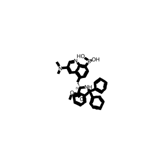 COC(=O)[C@H](Cc1ccc(B(O)O)c2ncc(N(C)C)cc12)NC(c1ccccc1)(c1ccccc1)c1ccccc1